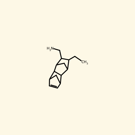 CCC1C(CN)C2CC1C1C3C=CC(C3)C21